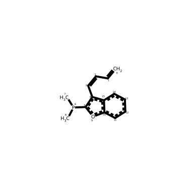 C=C/C=C\c1c(P(C)C)oc2ccccc12